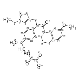 CCn1cc(CN(C(=O)C2CCCc3ccc(OC)cc32)c2ccc(C(C)C)cc2)cn1.O=C(O)C(=O)O